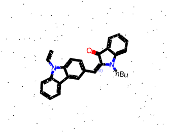 C=Cn1c2ccccc2c2cc(/C=C3\C(=O)c4ccccc4N3CCCC)ccc21